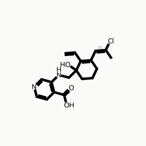 C=CC1=C(/C=C(\C)Cl)CCCC1(O)CNc1cnccc1C(=O)O